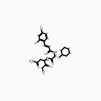 NC(=O)CC(NC(=O)[C@@H](CC1CCCCC1)NC(=O)/C=C/c1ccc(Cl)cc1F)C(=O)CCl